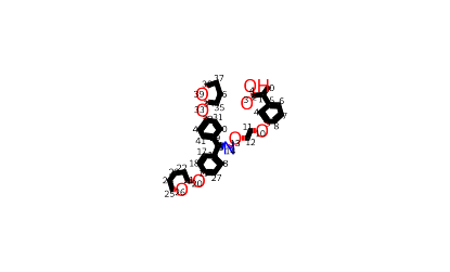 CC(C(=O)O)c1cccc(OCCON=C(c2ccc(OC3CCCCO3)cc2)c2ccc(OC3CCCCO3)cc2)c1